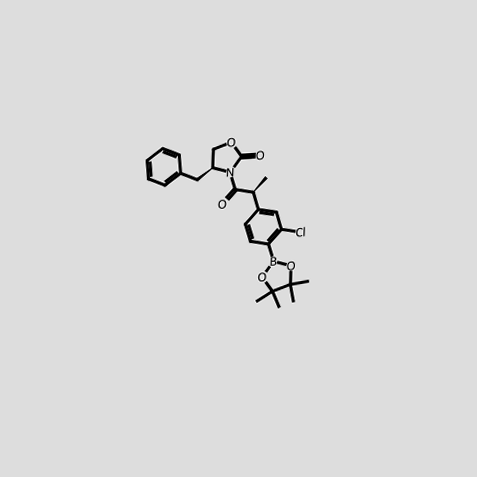 C[C@H](C(=O)N1C(=O)OC[C@@H]1Cc1ccccc1)c1ccc(B2OC(C)(C)C(C)(C)O2)c(Cl)c1